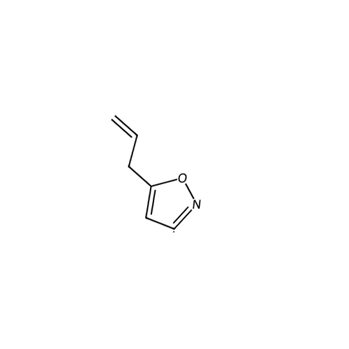 C=CCc1c[c]no1